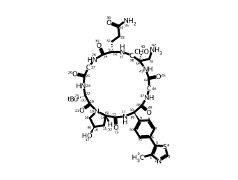 Cc1ncsc1-c1ccc([C@H]2NC(=O)[C@@H]3C[C@@H](O)CN3C(=O)[C@H](C(C)(C)C)NC(=O)CNC(=O)[C@H](CCC(N)=O)NC[C@@](C=O)(CN)NC(=O)CNC2=O)cc1